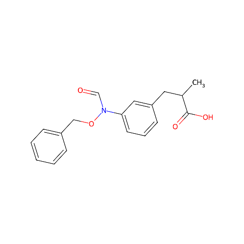 CC(Cc1cccc(N(C=O)OCc2ccccc2)c1)C(=O)O